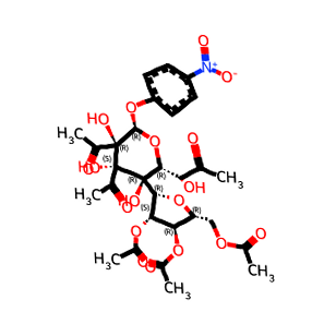 CC(=O)OC[C@H]1O[C@@H]([C@@]2(O)[C@@H](C(O)C(C)=O)O[C@H](Oc3ccc([N+](=O)[O-])cc3)[C@@](O)(C(C)=O)[C@]2(O)C(C)=O)[C@@H](OC(C)=O)[C@@H]1OC(C)=O